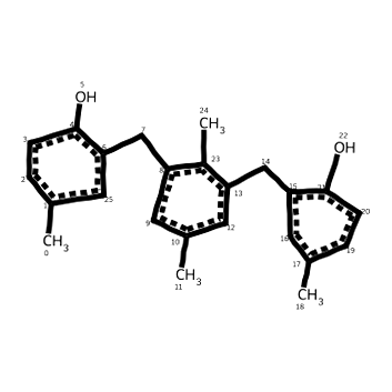 Cc1ccc(O)c(Cc2cc(C)cc(Cc3cc(C)ccc3O)c2C)c1